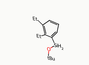 CCc1cccc([SiH2]OC(C)(C)C)c1CC